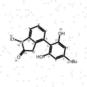 CCCCc1cc(O)c(-c2cccc3c2CC(=O)N3CC)c(O)c1